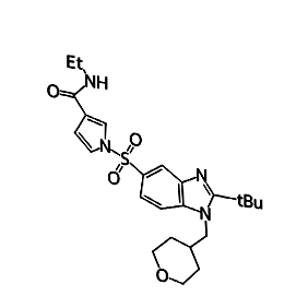 CCNC(=O)c1ccn(S(=O)(=O)c2ccc3c(c2)nc(C(C)(C)C)n3CC2CCOCC2)c1